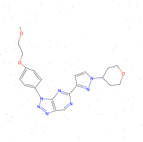 COCCOc1ccc(-n2nnc3cnc(-c4[c]cn(C5CCOCC5)n4)nc32)cc1